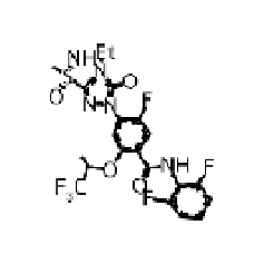 CCn1c(S(C)(=N)=O)nn(-c2cc(OC(C)C(F)(F)F)c(C(=O)Nc3c(F)cccc3F)cc2F)c1=O